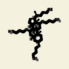 C[C@H](CCCO)[C@H]1CC[C@H]2[C@@H]3[C@H](OCCCN)C[C@@H]4C[C@H](OCCCN)CC[C@]4(C)[C@H]3CC(OCCCN)[C@]12C